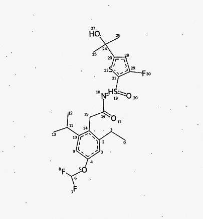 CCc1cc(OC(F)F)cc(C(C)C)c1CC(=O)N=[SH](=O)c1sc(C(C)(C)O)cc1F